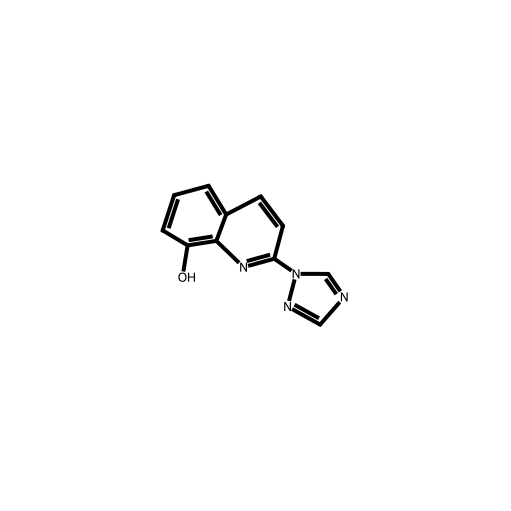 Oc1cccc2ccc(-n3cncn3)nc12